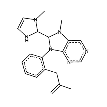 C=C(C)Cc1ccccc1N1c2ncncc2N(C)C1C1NC=CN1C